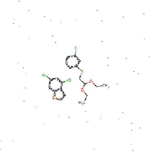 CCOC(CSc1cccc(Cl)c1)OCC.Clc1cc(Cl)c2ccsc2c1